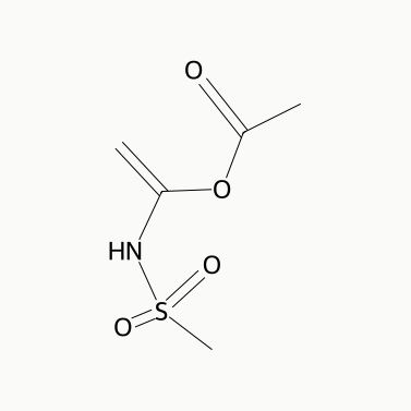 C=C(NS(C)(=O)=O)OC(C)=O